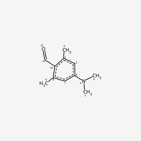 Cc1cc(N(C)C)cc(C)c1C=O